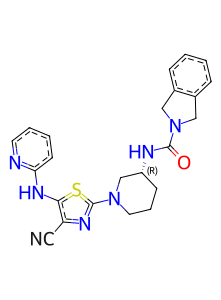 N#Cc1nc(N2CCC[C@@H](NC(=O)N3Cc4ccccc4C3)C2)sc1Nc1ccccn1